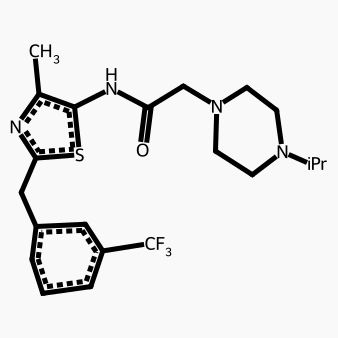 Cc1nc(Cc2cccc(C(F)(F)F)c2)sc1NC(=O)CN1CCN(C(C)C)CC1